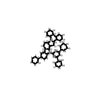 c1ccc(-c2ccc3c(c2)c2ccc4c(cc5c6ccccc6c6ccccc6n54)c2n3-c2nc(-c3ccccc3)cc(-c3ccccc3)n2)cc1